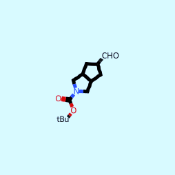 CC(C)(C)OC(=O)N1CC2CC(C=O)CC2C1